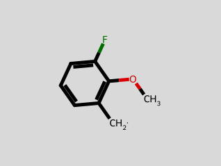 [CH2]c1cccc(F)c1OC